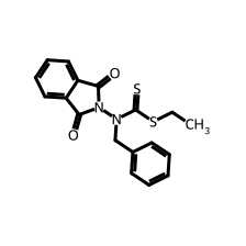 CCSC(=S)N(Cc1ccccc1)N1C(=O)c2ccccc2C1=O